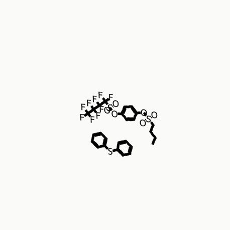 CCCCS(=O)(=O)Oc1ccc(OS(=O)(=O)C(F)(F)C(F)(F)C(F)(F)C(F)(F)F)cc1.c1ccc(Sc2ccccc2)cc1